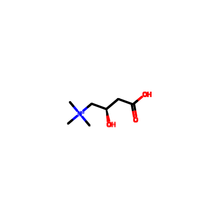 C[N+](C)(C)C[C@H](O)CC(=O)O